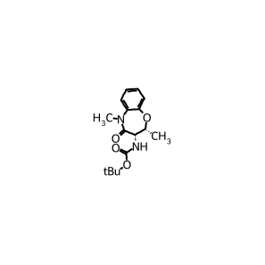 C[C@H]1Oc2ccccc2N(C)C(=O)[C@H]1NC(=O)OC(C)(C)C